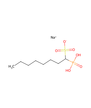 CCCCCCCC(P(=O)(O)O)S(=O)(=O)[O-].[Na+]